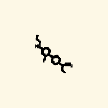 CCCNc1ccc(-c2ccc(C(N)CC)cc2)c(F)c1